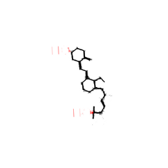 C=C1CC[C@@H](O)C/C1=C/C=C1\CCC[C@@]2(C)C1CC[C@@H]2[C@@H](C)/C=C/[C@@H](C)C(C)(C)O